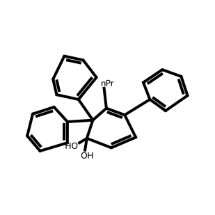 CCCC1=C(c2ccccc2)C=CC(O)(O)C1(c1ccccc1)c1ccccc1